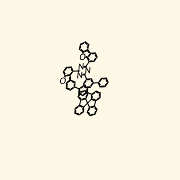 c1ccc(-c2cccc(-c3nc(-c4cccc5c4oc4ccccc45)nc(-c4cccc5oc6ccc(-c7ccc(-c8cccc9c8C8(c%10ccccc%10-c%10ccccc%108)c8ccccc8-9)cc7)cc6c45)n3)c2)cc1